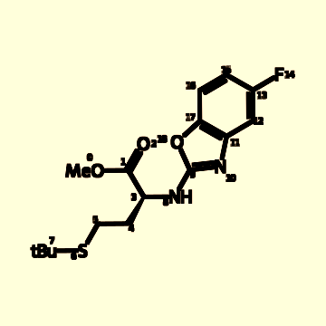 COC(=O)[C@H](CCSC(C)(C)C)Nc1nc2cc(F)ccc2o1